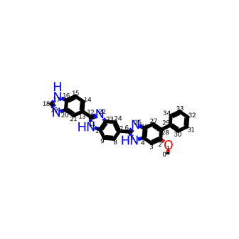 COc1cc2[nH]c(-c3ccc4[nH]c(-c5ccc6[nH]cnc6c5)nc4c3)nc2cc1-c1ccccc1